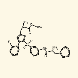 CN(Cc1cc(-c2ccccc2F)n(S(=O)(=O)c2cccc(NC(=O)[C@@H](N)Cc3ccccc3)c2)c1)C(=O)OC(C)(C)C